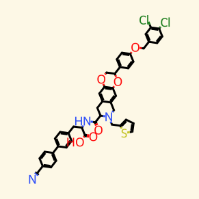 N#Cc1ccc(-c2ccc(CC(NC(=O)C3Cc4cc5c(cc4CN3Cc3cccs3)OC(c3ccc(OCc4ccc(Cl)c(Cl)c4)cc3)CO5)C(=O)O)cc2)cc1